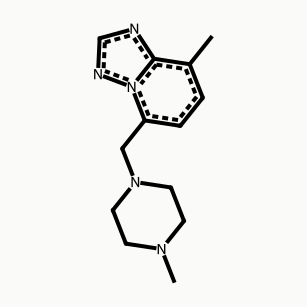 Cc1ccc(CN2CCN(C)CC2)n2ncnc12